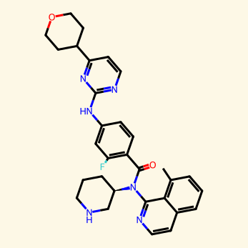 Cc1cccc2ccnc(N(C(=O)c3ccc(Nc4nccc(C5CCOCC5)n4)cc3F)[C@@H]3CCCNC3)c12